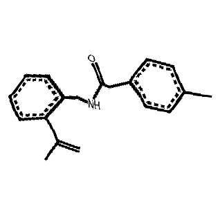 C=C(C)c1ccccc1NC(=O)c1ccc(C)cc1